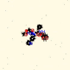 CN(C(=O)[C@@H](NC(=O)OC(C)(C)C)C(C)(C)C)N(Cc1ccc(-c2ccccn2)cc1)C[C@H](O)[C@H](Cc1ccccc1)NC(=O)O[C@H]1CO[C@H]2OCC[C@H]21